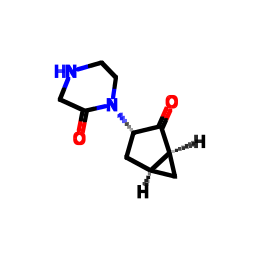 O=C1[C@H]2C[C@H]2C[C@@H]1N1CCNCC1=O